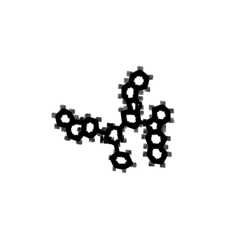 c1ccc(C2N=C(c3cc(-n4c5ccccc5c5cc6ccccc6cc54)c4oc5c6ccccc6ccc5c4c3)N=C(c3ccc4c(ccc5ccccc54)c3)N2)cc1